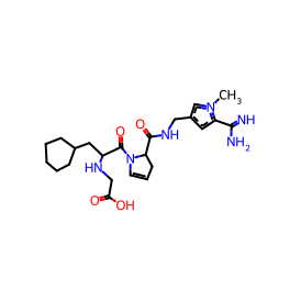 Cn1cc(CNC(=O)C2CC=CN2C(=O)C(CC2CCCCC2)NCC(=O)O)cc1C(=N)N